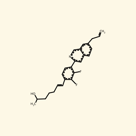 C=CCc1ccc2cc(-c3ccc(C=CCCCC(C)O)c(F)c3F)ncc2c1